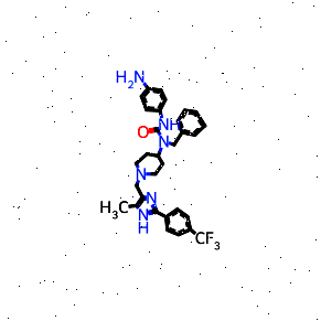 Cc1[nH]c(-c2ccc(C(F)(F)F)cc2)nc1CN1CCC(N(Cc2ccccc2)C(=O)Nc2ccc(N)cc2)CC1